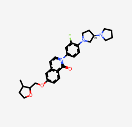 CC1CCOC1COc1ccc2c(=O)n(-c3ccc(N4CC[C@@H](N5CCCC5)C4)c(F)c3)ccc2c1